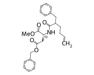 C=CCCC(Cc1ccccc1)C(=O)N[C@@H](CC(=O)OCc1ccccc1)C(=O)OC